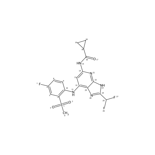 CS(=O)(=O)c1cc(F)ccc1Nc1cc(NC(=O)C2CC2)nc2[nH]c(C(F)F)nc12